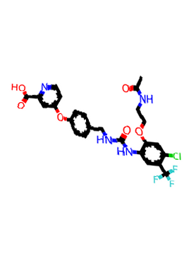 CC(=O)NCCOc1cc(Cl)c(C(F)(F)F)cc1NC(=O)NCc1ccc(Oc2ccnc(C(=O)O)c2)cc1